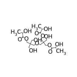 CC(O)C(=O)OCC(CO)(CO)COCC(CO)(COC(=O)C(C)O)COC(=O)C(C)O